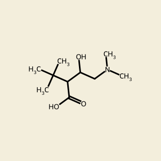 CN(C)CC(O)C(C(=O)O)C(C)(C)C